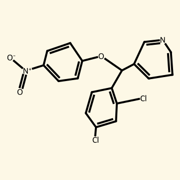 O=[N+]([O-])c1ccc(OC(c2cccnc2)c2ccc(Cl)cc2Cl)cc1